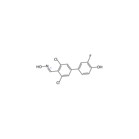 O/N=C/c1c(Cl)cc(-c2ccc(O)c(F)c2)cc1Cl